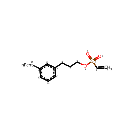 C=CS(=O)(=O)OCCCc1cccc(CCCCC)c1